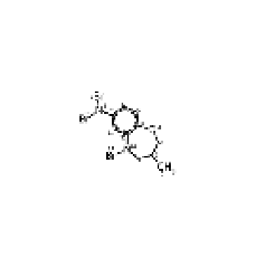 CC1COc2ccc(N(Br)Br)cc2N(Br)C1